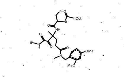 CCCCCCCCC(=O)NC(CC(C)C)C(=O)NC(C)(CCC(=O)N(C)Cc1ccc(OC)cc1OC)C(=O)C(=O)NC(C)C